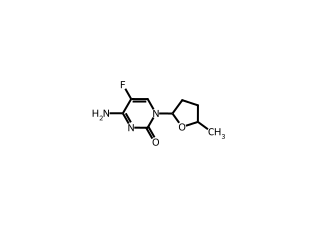 CC1CCC(n2cc(F)c(N)nc2=O)O1